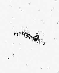 CCCOCCOc1ccc(CCc2cnc3c(N)nc4cc(C)ccc4c3c2)c(C)c1